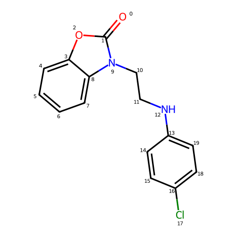 O=c1oc2ccccc2n1CCNc1ccc(Cl)cc1